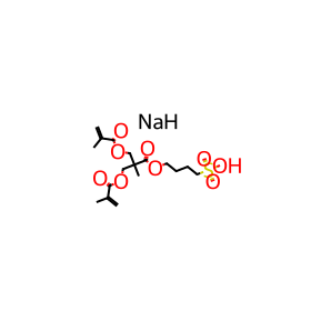 C=C(C)C(=O)OCC(C)(COC(=O)C(=C)C)C(=O)OCCCCS(=O)(=O)O.[NaH]